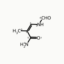 C/C(=C/NC=O)C(N)=O